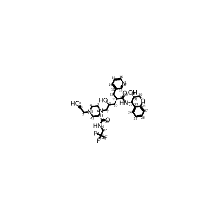 C#CCN1CCN(C[C@@H](O)C[C@@H](Cc2cccnc2)C(=O)N[C@H]2c3ccccc3OC[C@H]2O)[C@H](C(=O)NCC(F)(F)F)C1